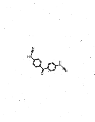 N#CNc1ccc(C(=O)c2ccc(NC#N)cc2)cc1